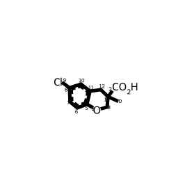 CC1(C(=O)O)COc2ccc(Cl)cc2C1